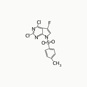 Cc1ccc(S(=O)(=O)n2cc(F)c3c(Cl)nc(Cl)nc32)cc1